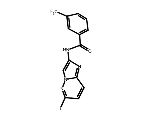 O=C(Nc1cn2nc(I)ccc2n1)c1cccc(C(F)(F)F)c1